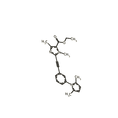 CCOC(=O)c1c(C)nc(C#Cc2cccc(-n3c(C)ccc3C)c2)n1C